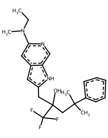 CCN(C)c1cc2cc(CC(O)(CC(C)(C)c3ccccc3)C(F)(F)F)[nH]c2cn1